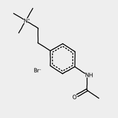 CC(=O)Nc1ccc(CC[N+](C)(C)C)cc1.[Br-]